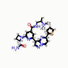 CCN(CC)C(C)CNC(=O)c1cc(-c2cnn3ccc(-c4cccs4)nc23)nc(N2CC[C@H]2C(N)=O)c1